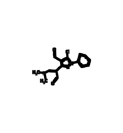 CN(C)/C=C(\C=O)c1nn(-c2ccccc2)c(Cl)c1C=O